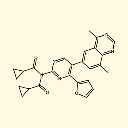 Cc1ncnc2c(C)cc(-c3cnc(N(C(=O)C4CC4)C(=O)C4CC4)nc3-c3ccco3)cc12